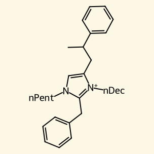 CCCCCCCCCC[n+]1c(CC(C)c2ccccc2)cn(CCCCC)c1Cc1ccccc1